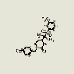 CC(C)(C1CCN(Cc2ccc(Cl)cc2)C(=O)C1)S(=O)(=O)c1cccc(C(F)(F)F)c1